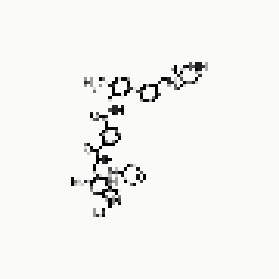 CCc1nc2c(cnn2CC)c(NC2CCOCC2)c1CNC(=O)c1cccc(C(=O)NCc2cc(-c3cccc(CN4CC5CCNC[C@H]54)c3)ccc2C)c1